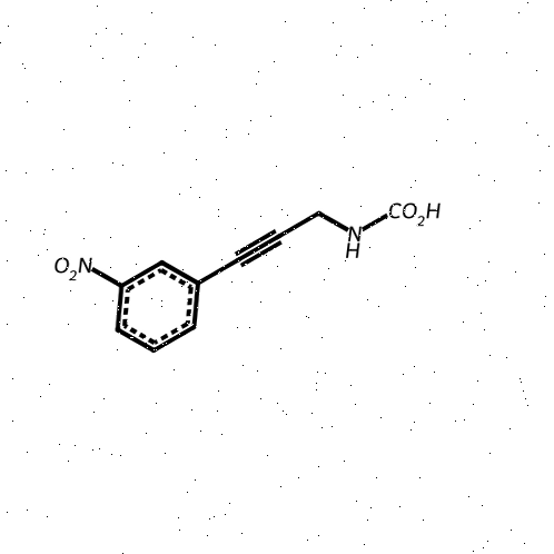 O=C(O)NCC#Cc1cccc([N+](=O)[O-])c1